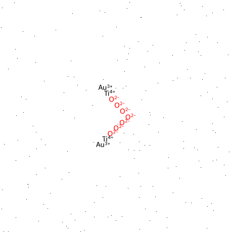 [Au+3].[Au+3].[O-2].[O-2].[O-2].[O-2].[O-2].[O-2].[O-2].[Ti+4].[Ti+4]